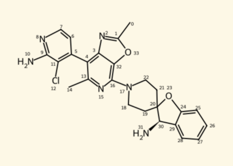 Cc1nc2c(-c3ccnc(N)c3Cl)c(C)nc(N3CCC4(CC3)Oc3ccccc3[C@H]4N)c2o1